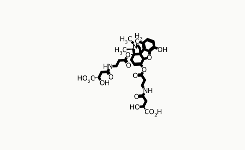 Cc1ccc(O)c2c1C13CCN(C)[C@H](C)[C@]1(OC(=O)CCNC(=O)C[C@H](O)C(=O)O)CC=C(OC(=O)CCNC(=O)C[C@H](O)C(=O)O)C3O2